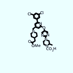 COC(=O)CC1CCN(Cc2cc(Oc3cnc(N4CCN(C(=O)O)C(C)C4)nc3)nc(-c3cc(Cl)cc(Cl)c3)c2)CC1